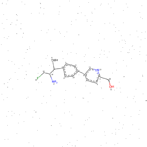 COC(c1ccc(-c2ccc(CO)nc2)cc1)C(N)CF